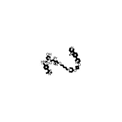 Cc1ncsc1-c1ccc([C@H](C)NC(=O)[C@@H]2C[C@@H](O)CN2C(=O)[C@@H](c2cc(OCCCCCN3CCC(O[C@H]4C[C@H](Oc5ccc(-c6ccc7c8cnccc8n(C)c7c6)cn5)C4)CC3)no2)C(C)C)cc1